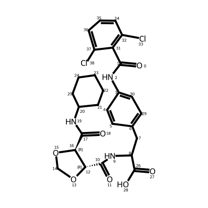 O=C(Nc1ccc(CC(NC(=O)[C@@H]2OCO[C@H]2C(=O)NC2CCCCC2)C(=O)O)cc1)c1c(Cl)cccc1Cl